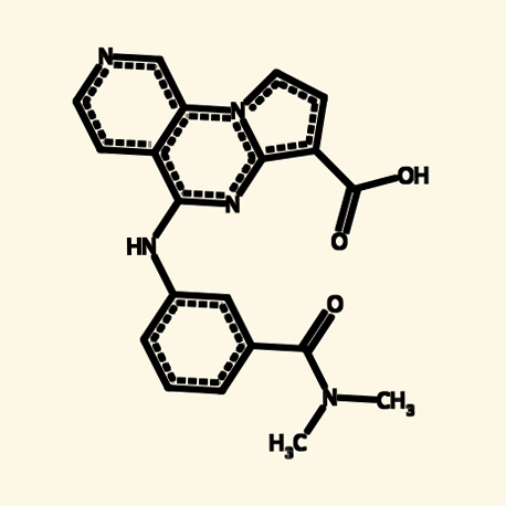 CN(C)C(=O)c1cccc(Nc2nc3c(C(=O)O)ccn3c3cnccc23)c1